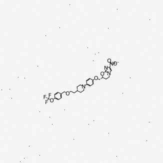 O=[N+]([O-])c1cn2c(n1)OC(COc1ccc(N3CCC(CCOCc4ccc(OC(F)(F)F)cc4)CC3)cc1)CC2